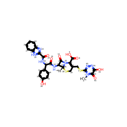 Cn1c(SCC2=C(C(=O)O)N3C(=O)C(NC(=O)C(NC(=O)c4nc5ccccc5[nH]4)c4ccc(O)cc4)[C@H]3SC2)nnc(O)c1=O